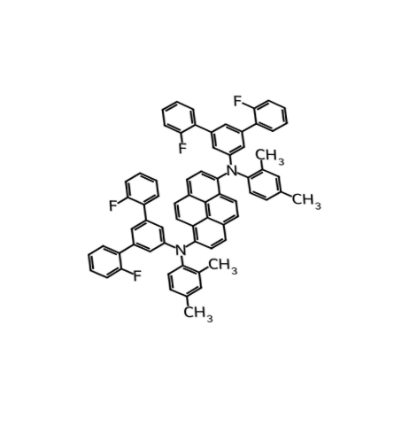 Cc1ccc(N(c2cc(-c3ccccc3F)cc(-c3ccccc3F)c2)c2ccc3ccc4c(N(c5cc(-c6ccccc6F)cc(-c6ccccc6F)c5)c5ccc(C)cc5C)ccc5ccc2c3c54)c(C)c1